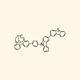 c1ccc2c(c1)-c1ccc(-c3ccc(-n4c5ccccc5c5cc(-c6ccc7sc8ccccc8c7c6)ccc54)cc3)cc1C1CC3CC2C2C(C1)C32